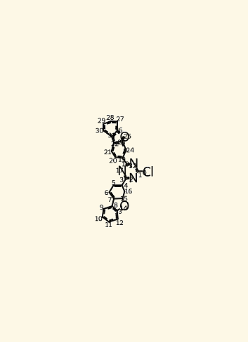 Clc1nc(C2=CC=C3c4ccccc4OC3C2)nc(-c2ccc3c(c2)oc2ccccc23)n1